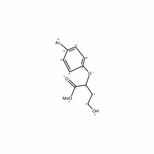 COC(=O)C(CCO)Oc1ccc(C(C)=O)cc1